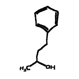 CC(O)CCc1ccccc1